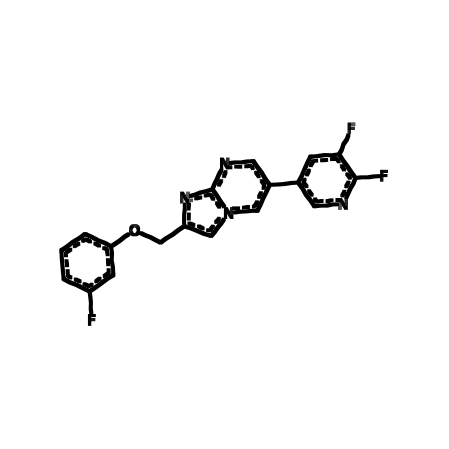 Fc1cccc(OCc2cn3cc(-c4cnc(F)c(F)c4)cnc3n2)c1